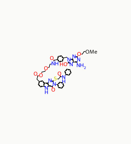 COCCOc1nc(N)c2nc(O)n(Cc3ccc(C(=O)NCCOCCOC(=O)Cc4ccc5[nH]c6c(=O)n(-c7ccccc7)c(SCC(=O)Nc7ccccc7)nc6c5c4)cc3)c2n1